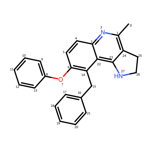 Cc1nc2ccc(Oc3ccccc3)c(Cc3ccccc3)c2c2c1CCN2